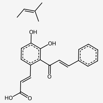 CC=C(C)C.O=C(O)C=Cc1ccc(O)c(O)c1C(=O)C=Cc1ccccc1